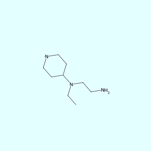 CCN(CCN)C1CC[N]CC1